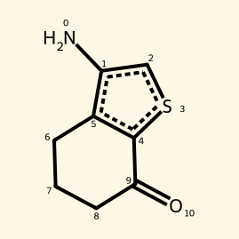 Nc1csc2c1CCCC2=O